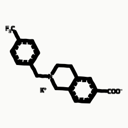 O=C([O-])c1ccc2c(c1)CCN(Cc1ccc(C(F)(F)F)cc1)C2.[K+]